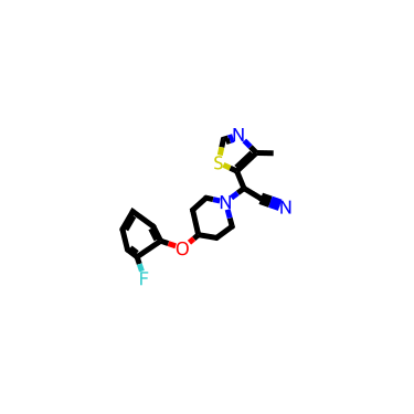 Cc1ncsc1C(C#N)N1CCC(Oc2ccccc2F)CC1